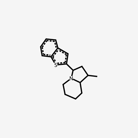 CC1CC(c2cc3ccccc3s2)N2CCCCC12